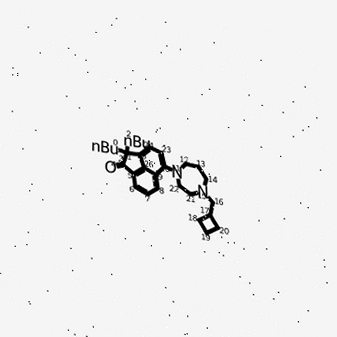 CCCCC1(CCCC)C(=O)c2cccc3c(N4CCCN(CC5CCC5)CC4)ccc1c23